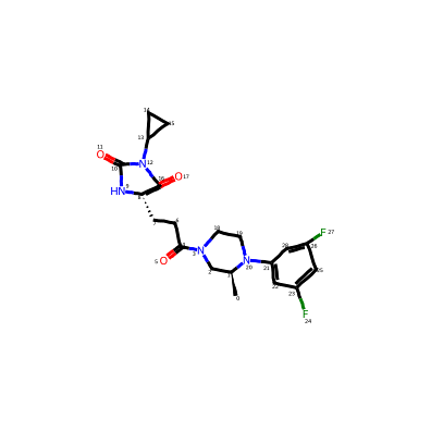 C[C@H]1CN(C(=O)CC[C@@H]2NC(=O)N(C3CC3)C2=O)CCN1c1cc(F)cc(F)c1